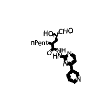 CCCCCC(CN(O)C=O)C(=O)NNc1nccc(-c2cccnc2)n1